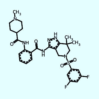 CN1CCC(C(=O)Nc2ccccc2C(=O)Nc2n[nH]c3c2CN(S(=O)(=O)c2cc(F)cc(F)c2)CC3(C)C)CC1